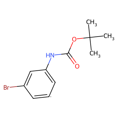 CC(C)(C)OC(=O)Nc1c[c]cc(Br)c1